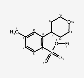 CCOS(=O)(=O)c1ccc(C)cc1C1CCOCC1